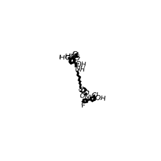 CS(=O)(=O)Nc1cc([C@@H](O)CNCCCCCCCCCN2CCC(OC(=O)Nc3ccc(F)cc3-c3ccc(O)c(Cl)c3)CC2)ccc1O